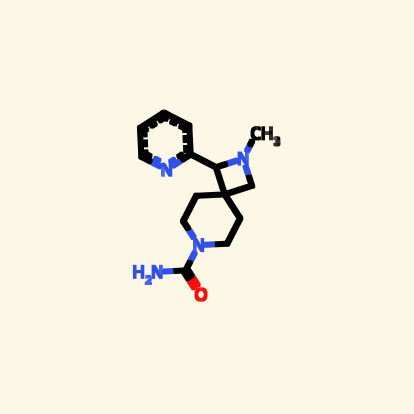 CN1CC2(CCN(C(N)=O)CC2)C1c1ccccn1